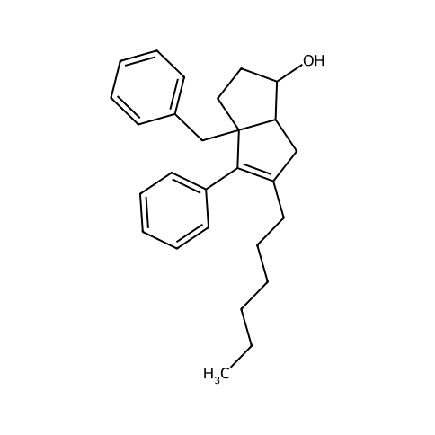 CCCCCCC1=C(c2ccccc2)C2(Cc3ccccc3)CCC(O)C2C1